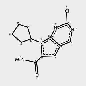 CNC(=O)c1cc2cnc(Cl)nc2n1C1CCCC1